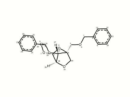 CO[C@@H]1O[C@@]2(COCc3ccccc3)CO[C@@H]1[C@@H]2OCc1ccccc1